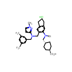 CCN(C[C@H]1CC[C@H](C(=O)O)CC1)c1cc2c(cc1CN(Cc1cc(C(F)(F)F)cc(C(F)(F)F)c1)c1ccn(C)n1)CCC2.Cl